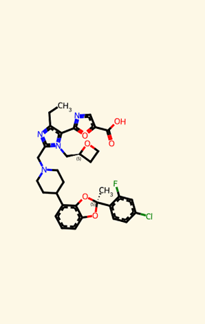 CCc1nc(CN2CCC(c3cccc4c3O[C@@](C)(c3ccc(Cl)cc3F)O4)CC2)n(C[C@@H]2CCO2)c1-c1ncc(C(=O)O)o1